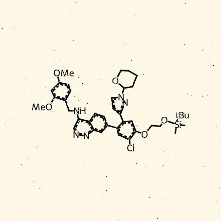 COc1ccc(CNc2cnnc3cc(-c4cc(Cl)c(OCCO[Si](C)(C)C(C)(C)C)cc4-c4ccn(C5CCCCO5)n4)ccc23)c(OC)c1